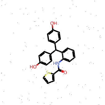 O=C(Nc1ccccc1C(c1ccc(O)cc1)c1ccc(O)cc1)c1cccs1